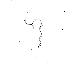 C=CC=Cc1cc(C=C)ccn1